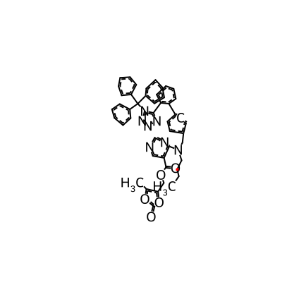 CCCCN(Cc1ccc(-c2ccccc2-c2nnnn2C(c2ccccc2)(c2ccccc2)c2ccccc2)cc1)c1ncncc1C(=O)OCc1oc(=O)oc1C